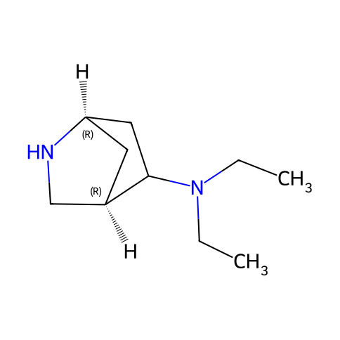 CCN(CC)C1C[C@H]2C[C@@H]1CN2